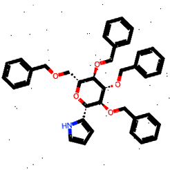 c1ccc(COC[C@H]2O[C@@H](c3ccc[nH]3)[C@H](OCc3ccccc3)[C@@H](OCc3ccccc3)[C@@H]2OCc2ccccc2)cc1